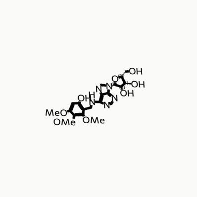 COc1cc(O)c(CNc2ncnc3c2ncn3[C@@H]2O[C@H](CO)[C@@H](O)[C@H]2O)c(OC)c1OC